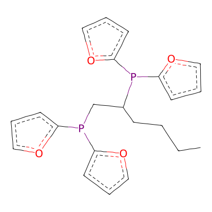 CCCCC(CP(c1ccco1)c1ccco1)P(c1ccco1)c1ccco1